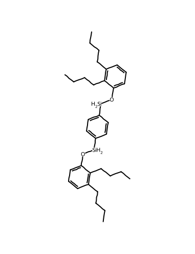 CCCCc1cccc(O[SiH2]c2ccc([SiH2]Oc3cccc(CCCC)c3CCCC)cc2)c1CCCC